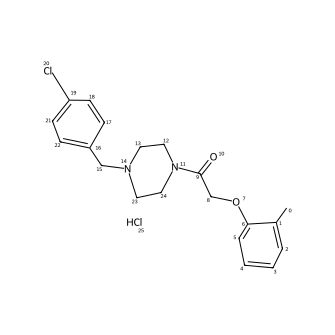 Cc1ccccc1OCC(=O)N1CCN(Cc2ccc(Cl)cc2)CC1.Cl